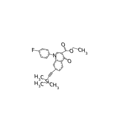 CCOC(=O)c1cn(-c2ccc(F)cc2)c2cc(C#C[Si](C)(C)C)ccc2c1=O